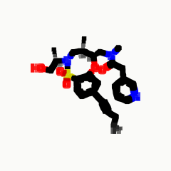 CC(C)CC#Cc1ccc2c(c1)O[C@H](CN(C)C(=O)Cc1cccnc1)[C@@H](C)CN([C@@H](C)CO)S2(=O)=O